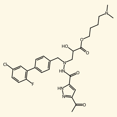 CC(=O)c1cc(C(=O)NN(Cc2ccc(-c3cc(Cl)ccc3F)cc2)CC(O)C(=O)OCCCCN(C)C)[nH]n1